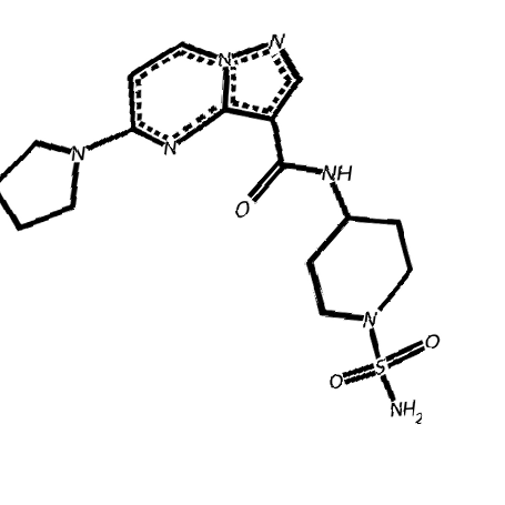 NS(=O)(=O)N1CCC(NC(=O)c2cnn3ccc(N4CCCC4)nc23)CC1